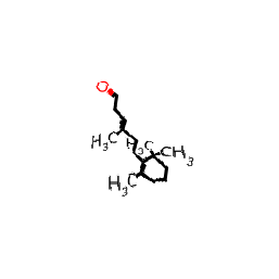 CC1=C(CC/C(C)=C/CC=O)C(C)(C)CCC1